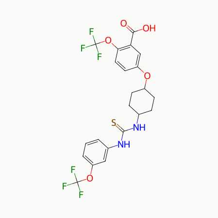 O=C(O)c1cc(OC2CCC(NC(=S)Nc3cccc(OC(F)(F)F)c3)CC2)ccc1OC(F)(F)F